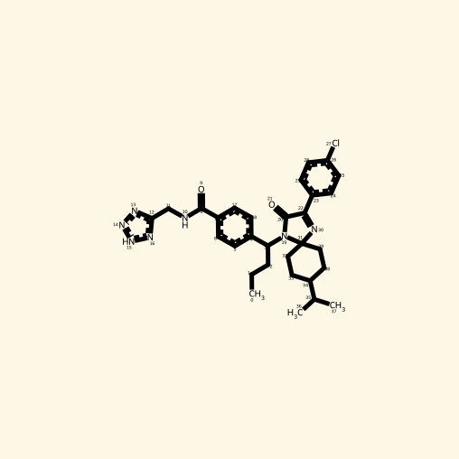 CCCC(c1ccc(C(=O)NCc2nn[nH]n2)cc1)N1C(=O)C(c2ccc(Cl)cc2)=NC12CCC(C(C)C)CC2